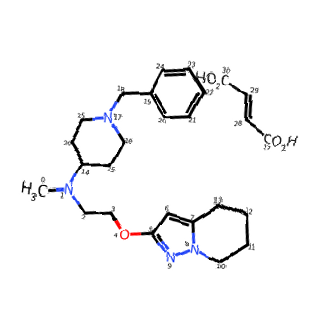 CN(CCOc1cc2n(n1)CCCC2)C1CCN(Cc2ccccc2)CC1.O=C(O)C=CC(=O)O